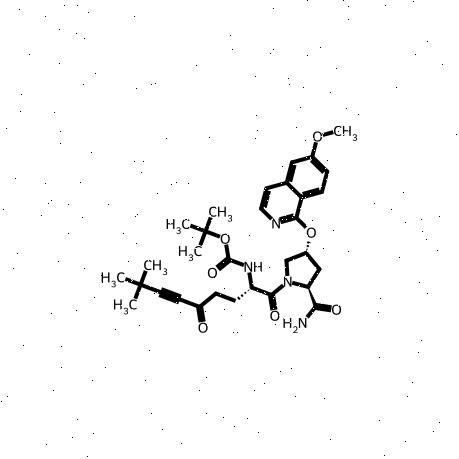 COc1ccc2c(O[C@@H]3C[C@@H](C(N)=O)N(C(=O)[C@H](CCC(=O)C#CC(C)(C)C)NC(=O)OC(C)(C)C)C3)nccc2c1